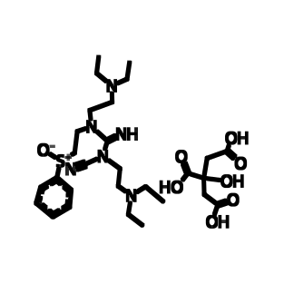 CCN(CC)CCN(C#N)C(=N)N(CCN(CC)CC)CC[S+]([O-])c1ccccc1.O=C(O)CC(O)(CC(=O)O)C(=O)O